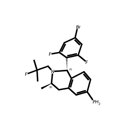 C[C@@H]1Cc2cc(P)ccc2[C@@H](c2c(F)cc(Br)cc2F)N1CC(C)(C)F